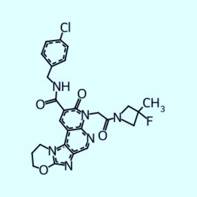 CC1(F)CN(C(=O)Cn2c(=O)c(C(=O)NCc3ccc(Cl)cc3)cc3c4c(cnc32)nc2n4CCCO2)C1